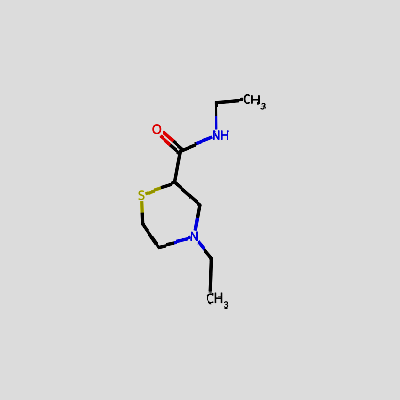 CCNC(=O)C1CN(CC)CCS1